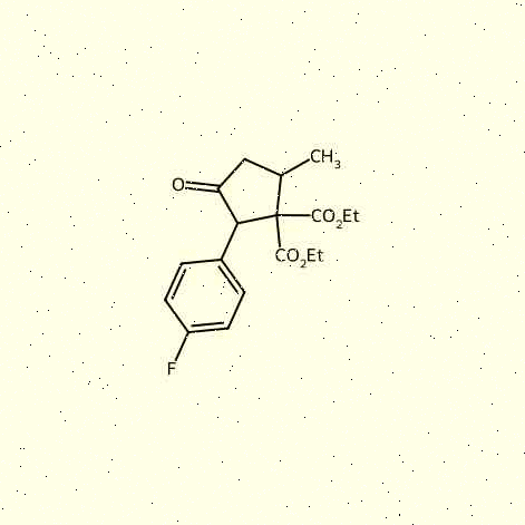 CCOC(=O)C1(C(=O)OCC)C(C)CC(=O)C1c1ccc(F)cc1